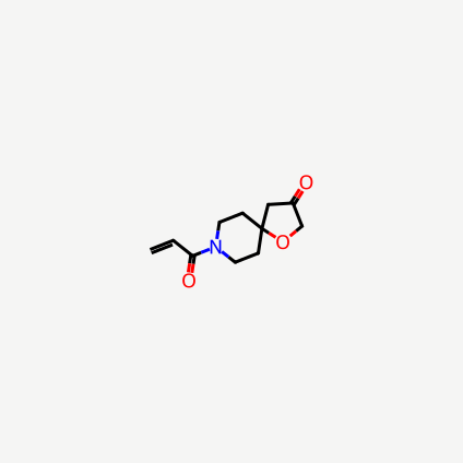 C=CC(=O)N1CCC2(CC1)CC(=O)CO2